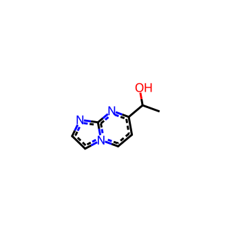 CC(O)c1ccn2ccnc2n1